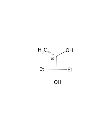 CCC(O)(CC)[C@H](C)O